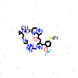 CC(C)Sc1ccc(OC(F)F)c(-c2nn(Cc3nnn(C4CN(CCC5(N(C)C)CC5)C4)n3)cc2CC(=O)c2cnn3cccnc23)c1